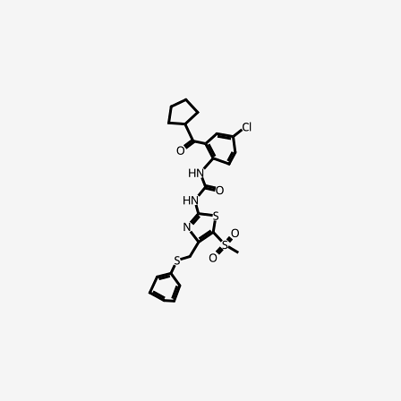 CS(=O)(=O)c1sc(NC(=O)Nc2ccc(Cl)cc2C(=O)C2CCCC2)nc1CSc1ccccc1